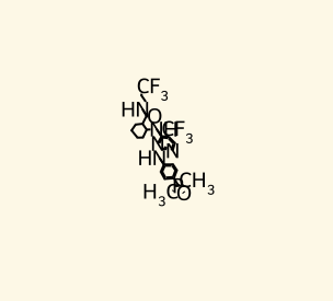 CP(C)(=O)c1ccc(Nc2ncc(C(F)(F)F)c(NC3CCCCC3C(=O)NCCC(F)(F)F)n2)cc1